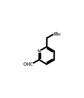 CC(C)(C)Cc1cccc(C=O)n1